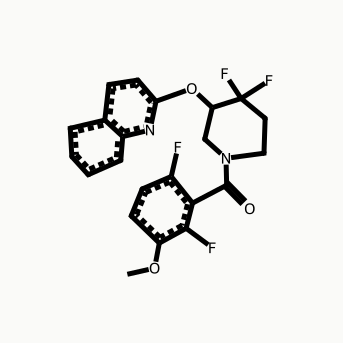 COc1ccc(F)c(C(=O)N2CCC(F)(F)C(Oc3ccc4ccccc4n3)C2)c1F